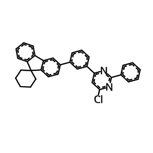 Clc1cc(-c2cccc(-c3ccc4c(c3)-c3ccccc3C43CCCCC3)c2)nc(-c2ccccc2)n1